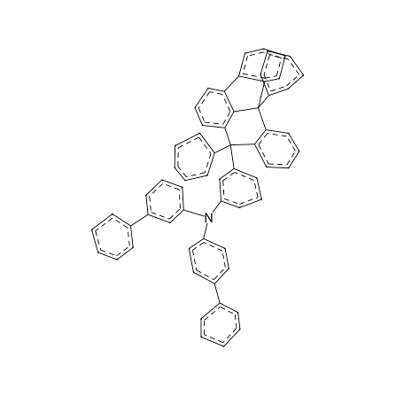 c1ccc(-c2ccc(N(c3cccc(-c4ccccc4)c3)c3cccc(C4(c5ccccc5)c5ccccc5C5(c6ccccc6)c6ccccc6-c6cccc4c65)c3)cc2)cc1